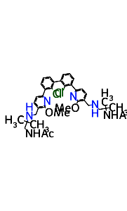 COc1nc(-c2cccc(-c3cccc(-c4ccc(CNC(C)(C)CNC(C)=O)c(OC)n4)c3Cl)c2Cl)ccc1CNCC(C)(C)NC(C)=O